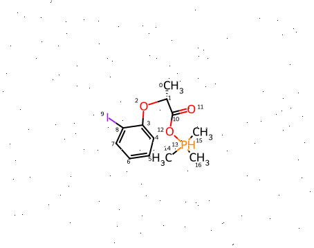 C[C@@H](Oc1ccccc1I)C(=O)O[PH](C)(C)C